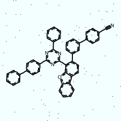 N#Cc1ccc(-c2cccc(-c3ccc4c(oc5ccccc54)c3-c3nc(-c4ccccc4)nc(-c4ccc(-c5ccccc5)cc4)n3)c2)cc1